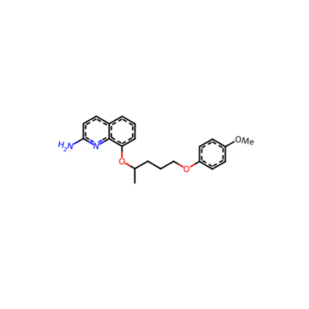 COc1ccc(OCCCC(C)Oc2cccc3ccc(N)nc23)cc1